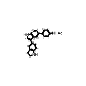 CC(=O)Nc1ccc(-c2cnc3[nH]cc(-c4ccc5c(c4)CCN5)c3c2)cc1